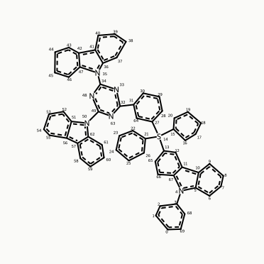 c1ccc(-n2c3ccccc3c3cc(S(c4ccccc4)(c4ccccc4)c4cccc(-c5nc(-n6c7ccccc7c7ccccc76)nc(-n6c7ccccc7c7ccccc76)n5)c4)ccc32)cc1